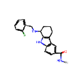 CCNC(=O)c1ccc2[nH]c3c(c2c1)CCCC3NCc1ccccc1F